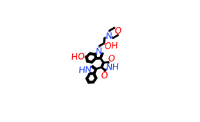 O=C1NC(=O)C(c2cn(CC(O)CN3CCOCC3)c3cc(O)ccc23)=C1c1c[nH]c2ccccc12